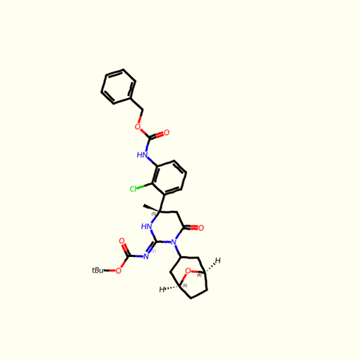 CC(C)(C)OC(=O)/N=C1\N[C@](C)(c2cccc(NC(=O)OCc3ccccc3)c2Cl)CC(=O)N1C1C[C@H]2CC[C@@H](C1)O2